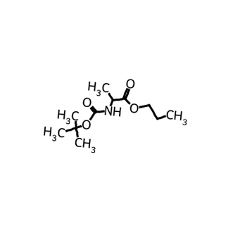 CCCOC(=O)C(C)NC(=O)OC(C)(C)C